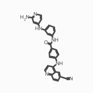 N#Cc1ccc2nccc(Nc3ccc(C(=O)Nc4cccc(Nc5ccnc(N)c5)c4)cc3)c2c1